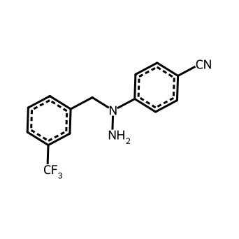 N#Cc1ccc(N(N)Cc2cccc(C(F)(F)F)c2)cc1